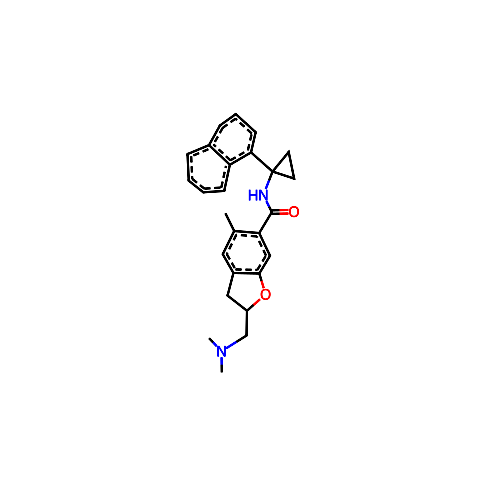 Cc1cc2c(cc1C(=O)NC1(c3cccc4ccccc34)CC1)OC(CN(C)C)C2